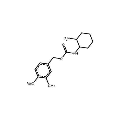 COc1ccc(COC(=O)NC2CCCCC2[N+](=O)[O-])cc1OC